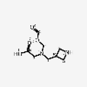 O=COCN(CC(=O)O)CC1CNC1